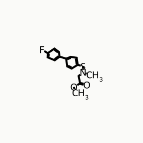 COC(=O)CN(C)Sc1ccc(-c2ccc(F)cc2)cc1